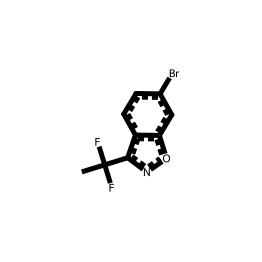 CC(F)(F)c1noc2cc(Br)ccc12